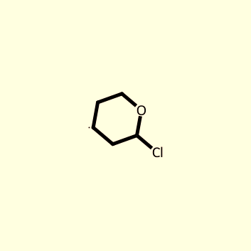 ClC1C[CH]CCO1